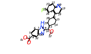 COC(=O)c1ccc2[nH]c(C(OC)C3CCC(c4ccnc5ccc(F)cc45)CC3)nc2c1